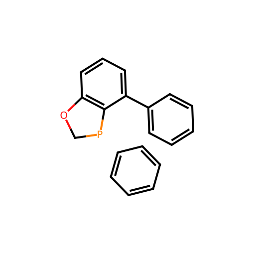 c1ccc(-c2cccc3c2[P@@](c2ccccc2)CO3)cc1